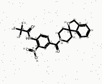 O=C(c1ccc(NC(=O)C(F)(F)F)c([N+](=O)[O-])c1)N1CCC2(CC1)OCc1ccccc12